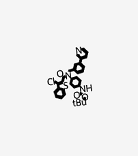 CC(C)(C)OC(=O)N[C@H]1CC[C@H](N(Cc2cccc(-c3cccnc3)c2)C(=O)c2sc3ccccc3c2Cl)CC1